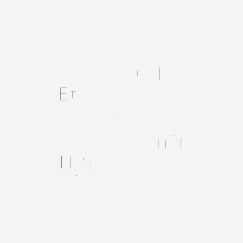 CCCC(C)([SiH2])CC